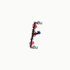 CCCC/C=C\COC(=O)CCCCCCCC(CCCCCCCC(=O)OC/C=C\CCCC)OC(=O)CCCN(C)C